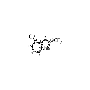 FC(F)(F)c1cc2c(Cl)nccn2n1